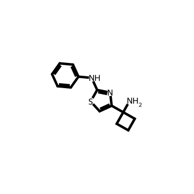 NC1(c2csc(Nc3ccccc3)n2)CCC1